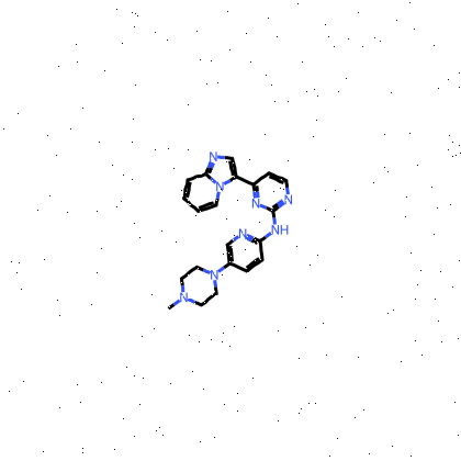 CN1CCN(c2ccc(Nc3nccc(-c4cnc5ccccn45)n3)nc2)CC1